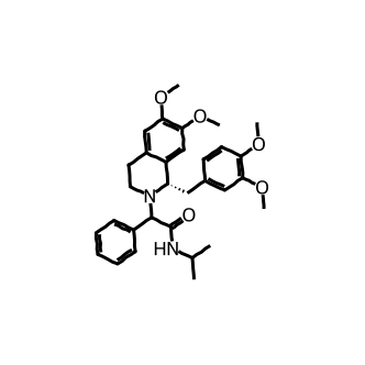 COc1ccc(C[C@H]2c3cc(OC)c(OC)cc3CCN2C(C(=O)NC(C)C)c2ccccc2)cc1OC